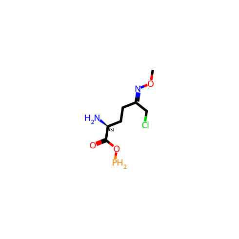 CON=C(CCl)CC[C@H](N)C(=O)OP